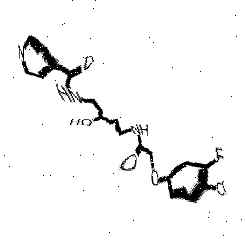 O=C(COc1ccc(Cl)c(F)c1)NCCC(O)CNC(=O)c1ccncc1